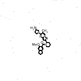 COc1cc2c(cc1C(=O)N1CCCCC1c1cc3nc(N4CCC(N)C4)c(C)cn3n1)CCC2